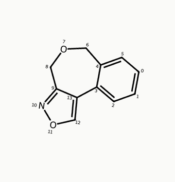 c1ccc2c(c1)COCc1nocc1-2